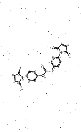 O=C(Oc1ccc(N2C(=O)C=CC2=O)cc1)Oc1ccc(N2C(=O)C=CC2=O)cc1